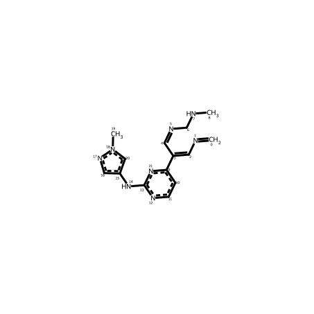 C=N/C=C(\C=N/CNC)c1ccnc(Nc2cnn(C)c2)n1